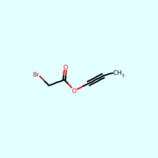 CC#COC(=O)CBr